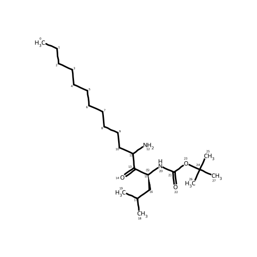 CCCCCCCCCCCC(N)C(=O)[C@H](CC(C)C)NC(=O)OC(C)(C)C